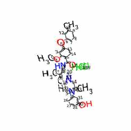 COc1cc(Oc2cccc(C)c2)ccc1C(=O)N[C@H](CN1CCN(c2cccc(O)c2)[C@@H](C)C1)C(C)C.Cl.Cl